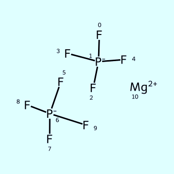 F[P-](F)(F)F.F[P-](F)(F)F.[Mg+2]